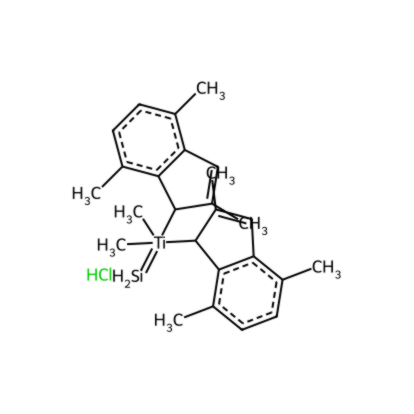 CC1=Cc2c(C)ccc(C)c2[CH]1[Ti]([CH3])([CH3])(=[SiH2])[CH]1C(C)=Cc2c(C)ccc(C)c21.Cl